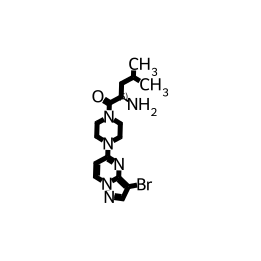 CC(C)C[C@H](N)C(=O)N1CCN(c2ccn3ncc(Br)c3n2)CC1